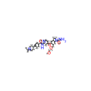 COCCOCc1cc2c(ccn2C(N)=O)cc1Oc1ccnc(NC(=O)c2ccc(C3CCN(C(C)C)CC3)cc2)c1